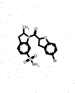 CC1Cc2ccc(S(N)(=O)=O)cc2N1C(=O)C1Cc2cc(Br)ccc2O1